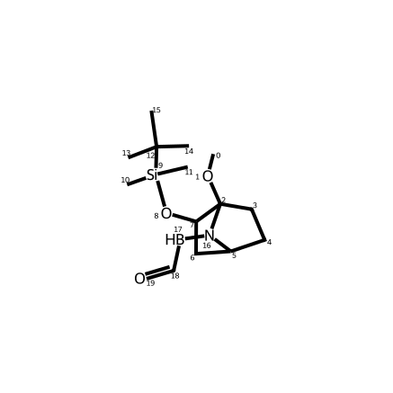 COC12CCC(CC1O[Si](C)(C)C(C)(C)C)N2BC=O